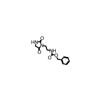 O=C(NCCN1C(=O)CNC1=O)OCc1ccccc1